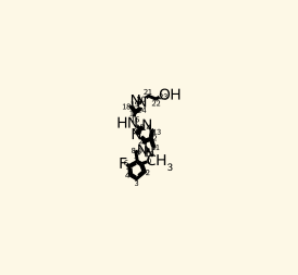 Cc1cccc(F)c1Cn1ncc2cnc(Nc3cnn(CCO)c3)nc21